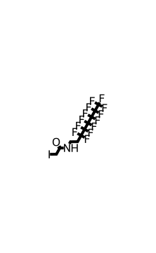 O=C(CI)NCCC(F)(F)C(F)(F)C(F)(F)C(F)(F)C(F)(F)C(F)(F)F